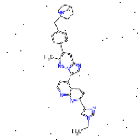 CCn1cnc(-c2ccc3c(-c4cnc5cc(-c6ccc(CC78CCC(CC7)CN8)cc6)c(C)nn45)ccnc3n2)c1